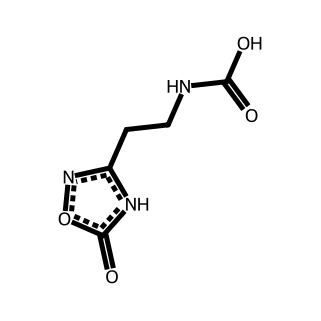 O=C(O)NCCc1noc(=O)[nH]1